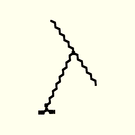 CCCCCCCCCCN(CCCCCCCCCC)CCCCCCCCCCCCCCOP(O)O